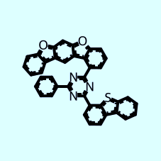 c1ccc(-c2nc(-c3cccc4c3sc3ccccc34)nc(-c3cccc4oc5cc6oc7ccccc7c6cc5c34)n2)cc1